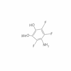 COc1c(O)c(F)c(F)c(N)c1F